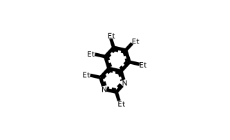 CCc1nc(CC)c2c(CC)c(CC)c(CC)c(CC)c2n1